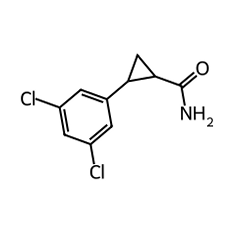 NC(=O)C1CC1c1cc(Cl)cc(Cl)c1